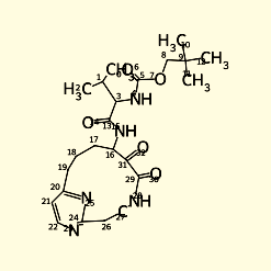 CC(C)C(NC(=O)OCC(C)(C)C)C(=O)NC1CCCc2ccnc(n2)CCNC(=O)C1=O